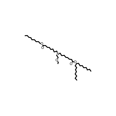 CCCCCCCCCOC(=O)CCCCCCCN(CCCCCCCC(=O)OC(CCCCCCCC)CCCCCCCC)CCOCC